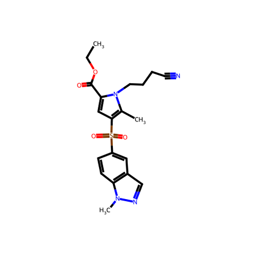 CCOC(=O)c1cc(S(=O)(=O)c2ccc3c(cnn3C)c2)c(C)n1CCCC#N